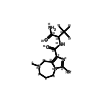 CN1CCCn2c(Br)nc(C(=O)NC(C(N)=O)C(C)(C)C)c2C1